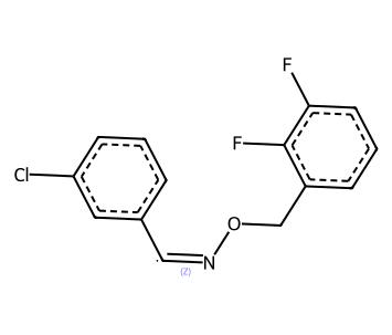 Fc1cccc(CO/N=[C]\c2cccc(Cl)c2)c1F